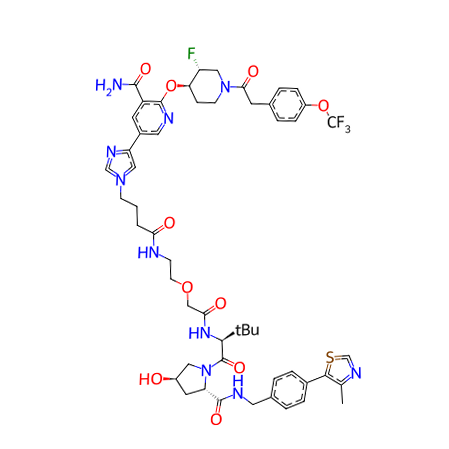 Cc1ncsc1-c1ccc(CNC(=O)[C@@H]2C[C@@H](O)CN2C(=O)[C@@H](NC(=O)COCCNC(=O)CCCn2cnc(-c3cnc(O[C@@H]4CCN(C(=O)Cc5ccc(OC(F)(F)F)cc5)C[C@H]4F)c(C(N)=O)c3)c2)C(C)(C)C)cc1